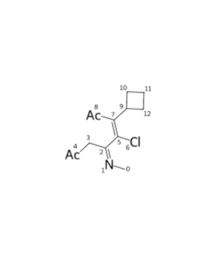 C/N=C(CC(C)=O)\C(Cl)=C(/C(C)=O)C1CCC1